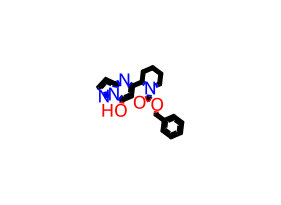 O=C(OCc1ccccc1)N1CCCCC1c1cc(O)n2nccc2n1